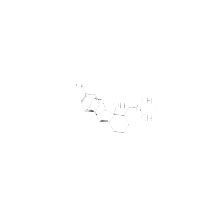 CN(C)CC1CCC/C(=C/c2ccc(Cl)cc2)C1(O)C1CCCC1